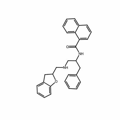 O=C(NC(CNCC1Cc2ccccc2O1)Cc1ccccc1)c1cccc2ccccc12